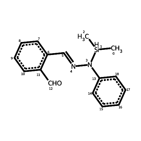 C[SiH](C)N(N=Cc1ccccc1C=O)c1ccccc1